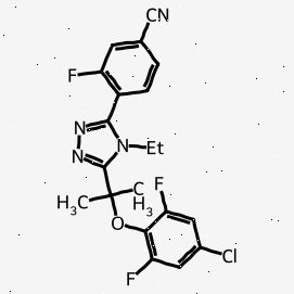 CCn1c(-c2ccc(C#N)cc2F)nnc1C(C)(C)Oc1c(F)cc(Cl)cc1F